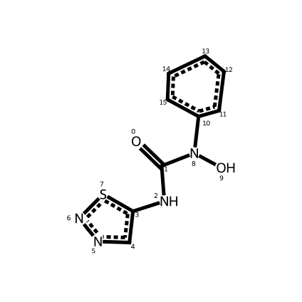 O=C(Nc1cnns1)N(O)c1ccccc1